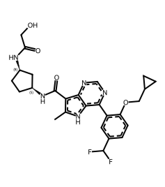 Cc1[nH]c2c(-c3cc(C(F)F)ccc3OCC3CC3)ncnc2c1C(=O)N[C@H]1CC[C@@H](NC(=O)CO)C1